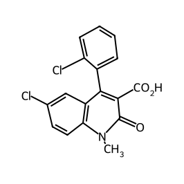 Cn1c(=O)c(C(=O)O)c(-c2ccccc2Cl)c2cc(Cl)ccc21